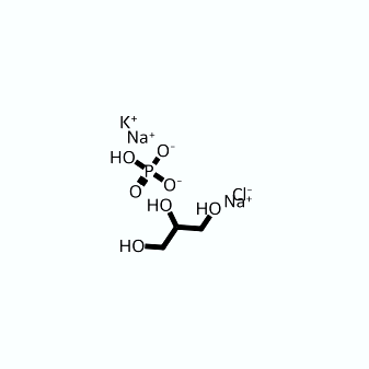 O=P([O-])([O-])O.OCC(O)CO.[Cl-].[K+].[Na+].[Na+]